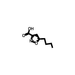 CCCCc1cc(C(=O)O)no1